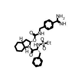 CCS(=O)(=O)N[C@H](Cc1ccccc1)C(=O)N1[C@@H](OC(=O)NCc2ccc(C(=N)N)cc2)C[C@H]2CCCC[C@H]21